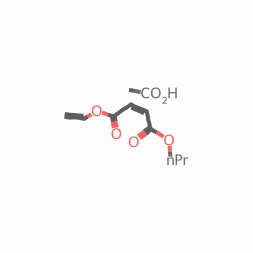 C=COC(=O)/C=C\C(=O)OCCC.CC(=O)O